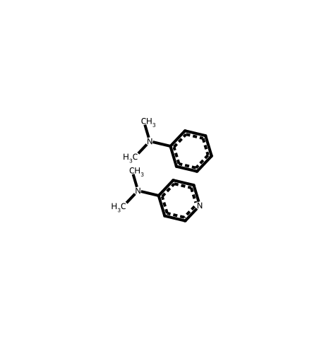 CN(C)c1ccccc1.CN(C)c1ccncc1